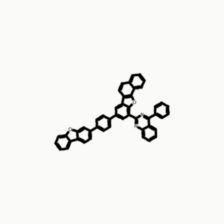 c1ccc(-c2nc(-c3cc(-c4ccc(-c5ccc6c(c5)oc5ccccc56)cc4)cc4c3oc3c5ccccc5ccc43)nc3ccccc23)cc1